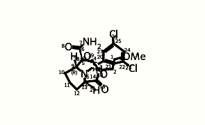 COCCN1C[C@H](C(N)=O)[C@H]2CCC[C@@H](C1=O)N2S(=O)(=O)c1cc(Cl)cc(Cl)c1